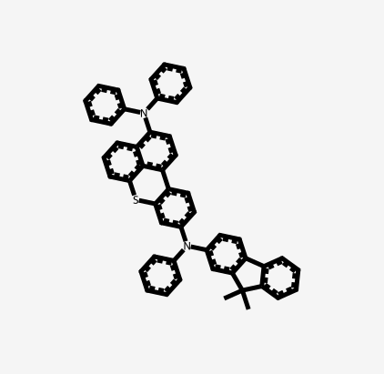 CC1(C)c2ccccc2-c2ccc(N(c3ccccc3)c3ccc4c(c3)Sc3cccc5c(N(c6ccccc6)c6ccccc6)ccc-4c35)cc21